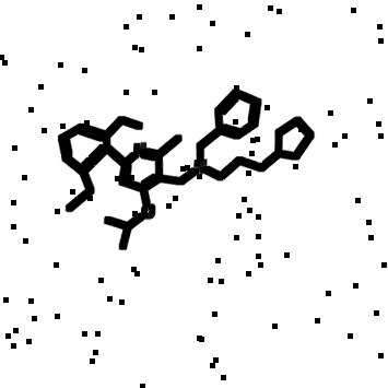 CCc1cccc(CC)c1-c1cc(OC(C)C)c(CN(CCCC2CCCC2)Cc2ccccc2)c(C)n1